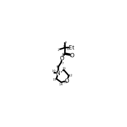 CCC(C)(C)C(=O)OCC[N+]1(C)CCOCC1